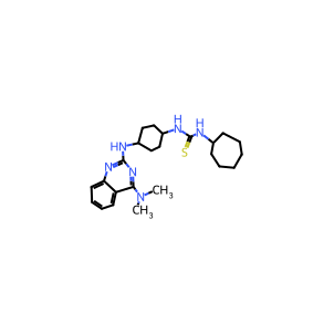 CN(C)c1nc(NC2CCC(NC(=S)NC3CCCCCC3)CC2)nc2ccccc12